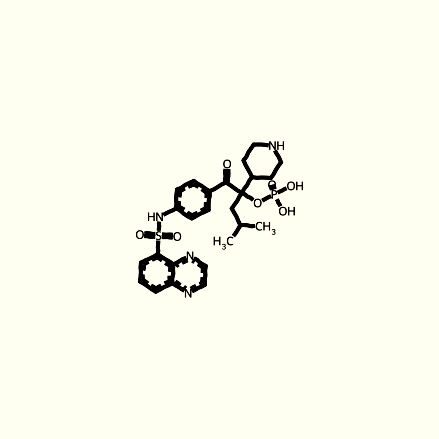 CC(C)CC(OP(=O)(O)O)(C(=O)c1ccc(NS(=O)(=O)c2cccc3nccnc23)cc1)C1CCNCC1